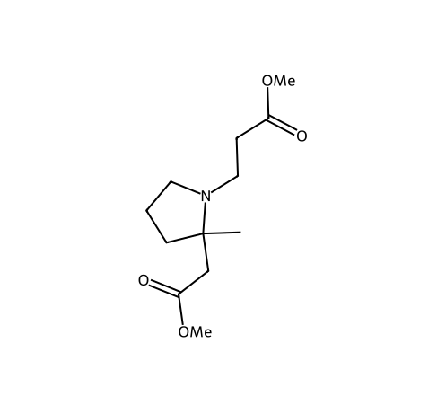 COC(=O)CCN1CCCC1(C)CC(=O)OC